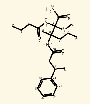 CCCC(=O)NC(NC)(C(N)=O)C(C)(CCC)NC(=O)CC(C)c1ccccc1